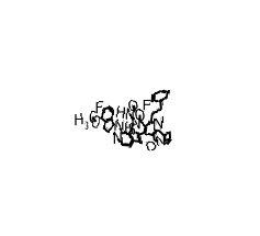 COc1c(F)ccc2c1CC[C@H]2Nc1nccc2cc(-c3c4c(nc(CCc5ccccc5F)c3-c3n[nH]c(=O)o3)C35CC(CN3C4=O)C5)sc12